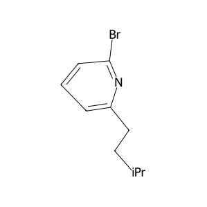 CC(C)CCc1cccc(Br)n1